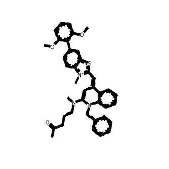 COc1cccc(OC)c1-c1ccc2c(c1)sc(/C=C1\C=C(N(C)CCCC(C)=O)N(Cc3ccccc3)c3ccccc31)[n+]2C